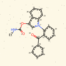 CCNC(=O)Oc1cn(-c2ccccc2C(=O)c2ccccc2)c2ccccc12